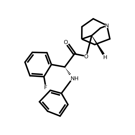 O=C(O[C@H]1CN2CCC1CC2)[C@H](Nc1ccccc1)c1ccccc1F